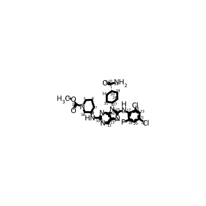 COC(=O)N1CCC[C@@H](Nc2ncc3nc(Nc4c(F)cc(Cl)cc4Cl)n([C@H]4CC[C@@H](C(N)=O)CC4)c3n2)C1